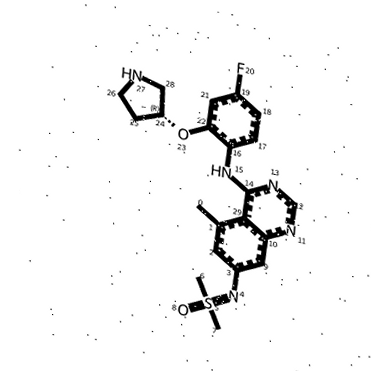 Cc1cc(N=S(C)(C)=O)cc2ncnc(Nc3ccc(F)cc3O[C@@H]3CCNC3)c12